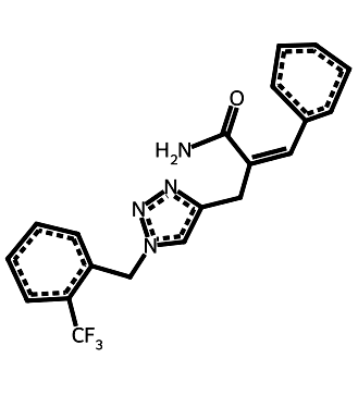 NC(=O)C(=Cc1ccccc1)Cc1cn(Cc2ccccc2C(F)(F)F)nn1